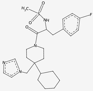 CS(=O)(=O)NC(Cc1ccc(F)cc1)C(=O)N1CCC(Cn2ccnc2)(C2CCCCC2)CC1